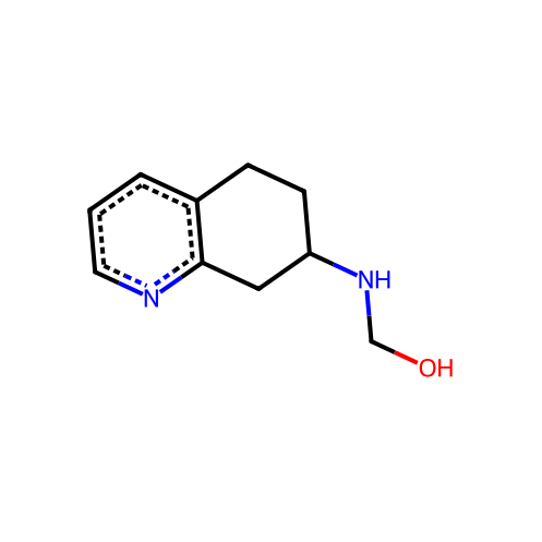 OCNC1CCc2cccnc2C1